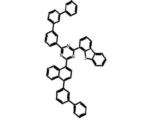 c1ccc(-c2cccc(-c3cccc(-c4nc(-c5ccc(-c6cccc(-c7ccccc7)c6)c6ccccc56)nc(-c5cccc6c5sc5ccccc56)n4)c3)c2)cc1